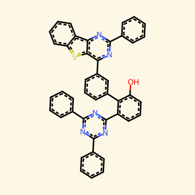 Oc1cccc(-c2nc(-c3ccccc3)nc(-c3ccccc3)n2)c1-c1cccc(-c2nc(-c3ccccc3)nc3c2sc2ccccc23)c1